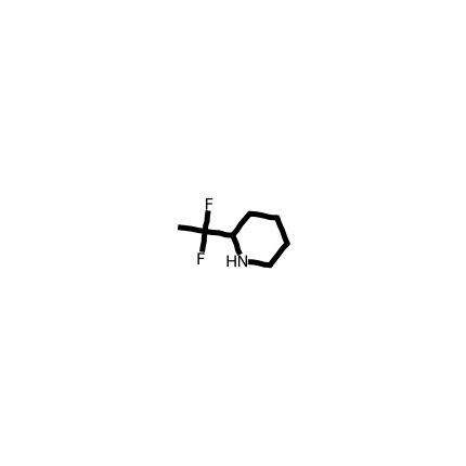 CC(F)(F)C1CCCCN1